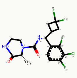 C[C@@H]1C(=O)NCCN1C(=O)N[C@@H](c1ccc(F)c(Cl)c1F)C1CC(F)(F)C1